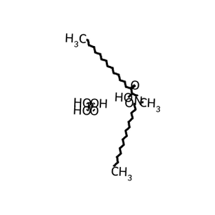 CCCCCCCCCCCCCCCC(=O)C(O)CN(C)C(=O)CCCCCCCCCCCCCCC.O=P(O)(O)O